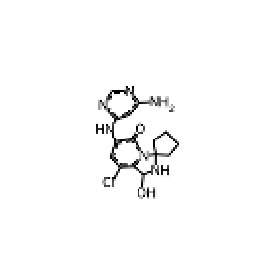 Nc1cc(Nc2cc(Cl)c3n(c2=O)C2(CCCC2)NC3O)ncn1